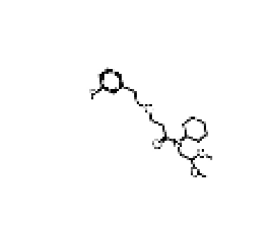 COC(CN(C(=O)CCOCCc1cccc(F)c1)C1CCCCC1)OC